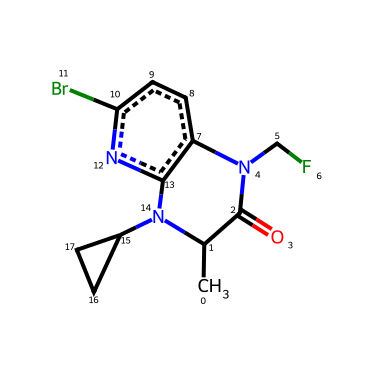 CC1C(=O)N(CF)c2ccc(Br)nc2N1C1CC1